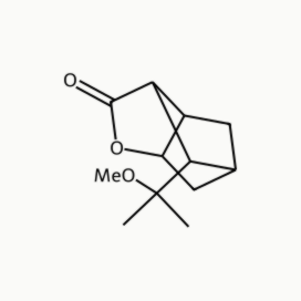 COC(C)(C)C1C2CC3OC(=O)C1C3C2